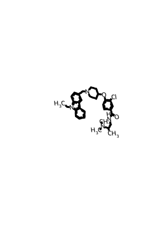 CCn1c2ccccc2c2cc(CN3CCC(Oc4ccc(C(=O)NCC(C)N(C)C)cc4Cl)CC3)ccc21